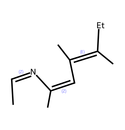 C\C=N/C(C)=C\C(C)=C(/C)CC